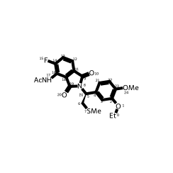 CCOc1cc([C@@H](CSC)N2C(=O)c3ccc(F)c(NC(C)=O)c3C2=O)ccc1OC